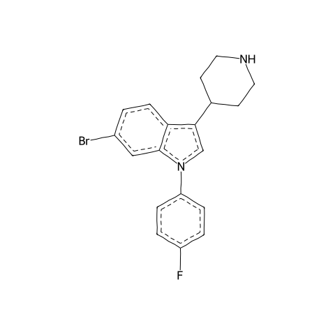 Fc1ccc(-n2cc(C3CCNCC3)c3ccc(Br)cc32)cc1